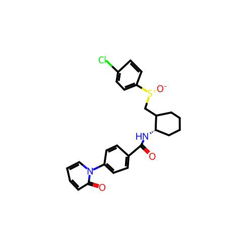 O=C(N[C@H]1CCCCC1C[S+]([O-])c1ccc(Cl)cc1)c1ccc(-n2ccccc2=O)cc1